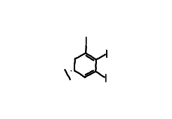 CC.IC1=C[CH]CC(I)=C1I